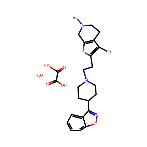 CCc1c(CCN2CCC(c3noc4ccccc34)CC2)sc2c1CCN(C(C)=O)C2.O.O=C(O)C(=O)O